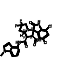 Cn1ccc2c(NC(=O)[C@H]3[C@H]4CC(F)(F)CN4[C@]4(C(=O)Nc5c(Cl)cc(Cl)cc54)[C@H]3C(=O)O)cccc21